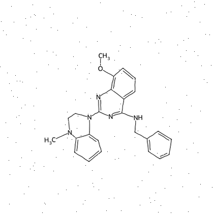 COc1cccc2c(NCc3ccccc3)nc(N3CCN(C)c4ccccc43)nc12